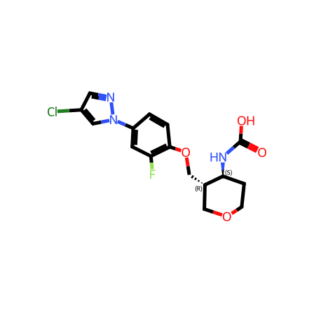 O=C(O)N[C@H]1CCOC[C@@H]1COc1ccc(-n2cc(Cl)cn2)cc1F